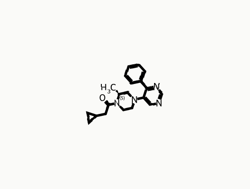 C[C@H]1CN(c2cncnc2-c2ccccc2)CCN1C(=O)CC1CC1